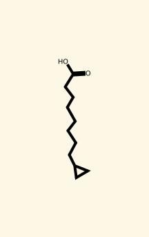 O=C(O)CCCCCCCC1CC1